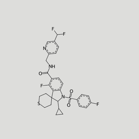 O=C(NCc1ccc(C(F)F)cn1)c1ccc2c(c1F)C1(CCSCC1)C(C1CC1)N2S(=O)(=O)c1ccc(F)cc1